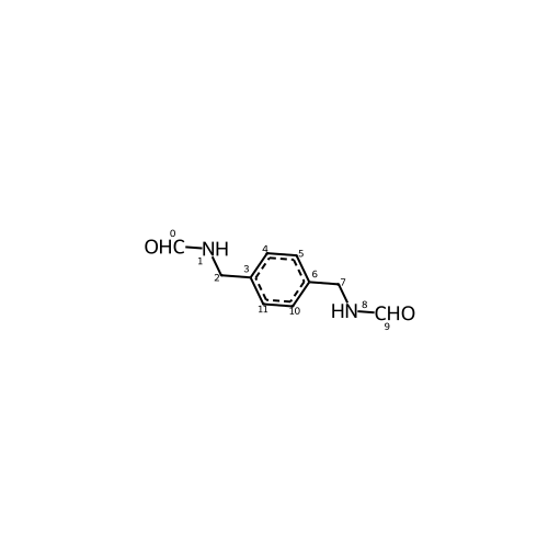 O=CNCc1ccc(CNC=O)cc1